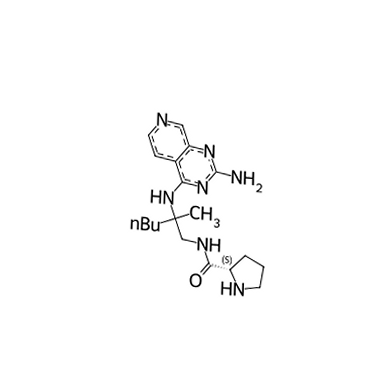 CCCCC(C)(CNC(=O)[C@@H]1CCCN1)Nc1nc(N)nc2cnccc12